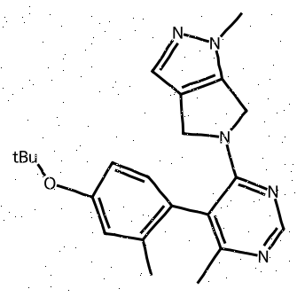 Cc1cc(OC(C)(C)C)ccc1-c1c(C)ncnc1N1Cc2cnn(C)c2C1